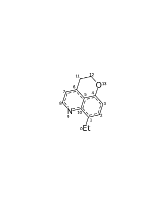 CCc1ccc2c3c(ccnc13)CCO2